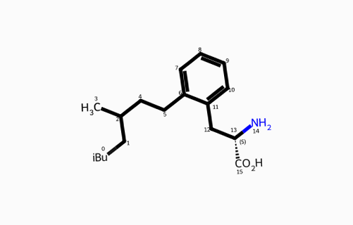 CCC(C)CC(C)CCc1ccccc1C[C@H](N)C(=O)O